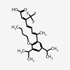 CCCCOc1c(C(C)=CC=CC(=CC(=O)O)C(F)(F)F)cc(C(C)C)cc1C(C)C